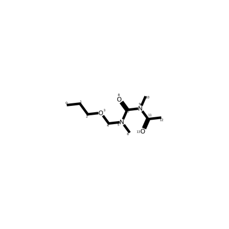 CCCOCN(C)C(=O)N(C)C(C)=O